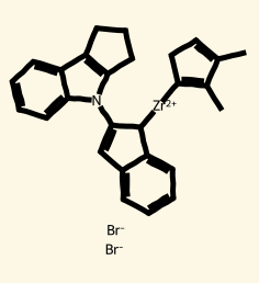 CC1=CC[C]([Zr+2][CH]2C(n3c4c(c5ccccc53)CCC4)=Cc3ccccc32)=C1C.[Br-].[Br-]